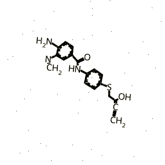 C=C=C(O)CSc1ccc(NC(=O)c2ccc(N)c(N=C)c2)cc1